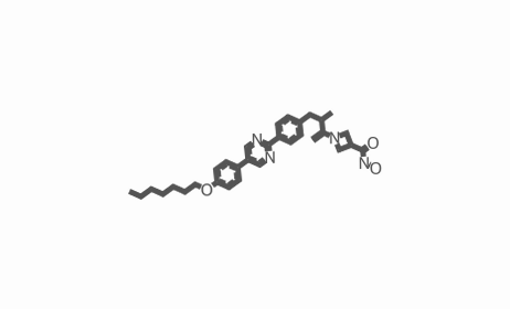 C=C(C(C)Cc1ccc(-c2ncc(-c3ccc(OCCCCCCC)cc3)cn2)cc1)N1CC(C(=O)N=O)C1